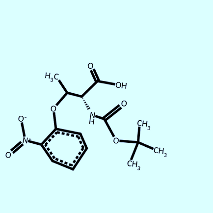 CC(Oc1ccccc1[N+](=O)[O-])[C@@H](NC(=O)OC(C)(C)C)C(=O)O